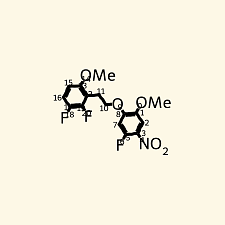 COc1cc([N+](=O)[O-])c(F)cc1OCCc1c(OC)ccc(F)c1F